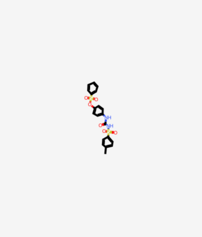 Cc1ccc(S(=O)(=O)NC(=O)Nc2ccc(OS(=O)(=O)c3ccccc3)cc2)cc1